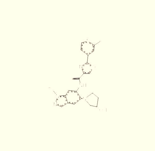 CCn1ncc2cc(N3CC[C@H](O)C3)c(NC(=O)c3coc(-c4ccnc(C)c4)n3)cc21